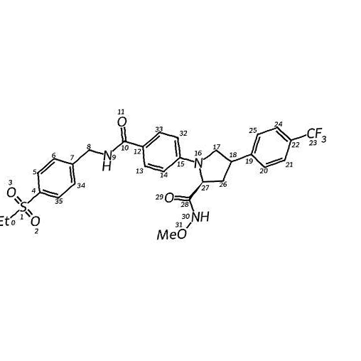 CCS(=O)(=O)c1ccc(CNC(=O)c2ccc(N3CC(c4ccc(C(F)(F)F)cc4)C[C@H]3C(=O)NOC)cc2)cc1